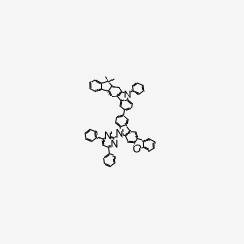 CC1(C)c2ccccc2-c2cc3c4cc(-c5ccc6c(c5)c5cc7c(cc5n6-c5nc(-c6ccccc6)cc(-c6ccccc6)n5)oc5ccccc57)ccc4n(-c4ccccc4)c3cc21